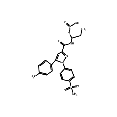 CCC(NC(=O)c1cc(-c2ccc(C)cc2)n(-c2ccc(S(N)(=O)=O)cc2)n1)O[PH](=O)O